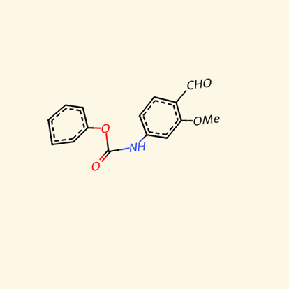 COc1cc(NC(=O)Oc2ccccc2)ccc1C=O